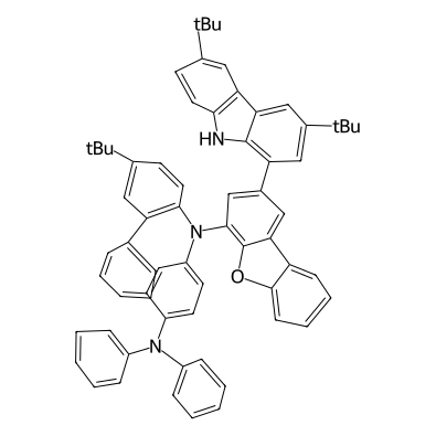 CC(C)(C)c1ccc(N(c2ccc(N(c3ccccc3)c3ccccc3)cc2)c2cc(-c3cc(C(C)(C)C)cc4c3[nH]c3ccc(C(C)(C)C)cc34)cc3c2oc2ccccc23)c(-c2ccccc2)c1